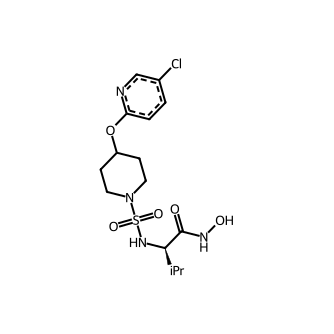 CC(C)[C@@H](NS(=O)(=O)N1CCC(Oc2ccc(Cl)cn2)CC1)C(=O)NO